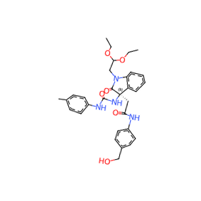 CCOC(CN1C(=O)[C@](CC(=O)Nc2ccc(CO)cc2)(NC(=O)Nc2ccc(C)cc2)c2ccccc21)OCC